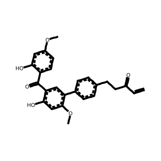 C=CC(=O)CCc1ccc(-c2cc(C(=O)c3ccc(OC)cc3O)c(O)cc2OC)cc1